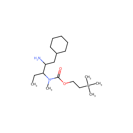 CCC(C(N)CC1CCCCC1)N(C)C(=O)OCC[Si](C)(C)C